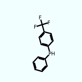 FC(F)(F)c1ccc(Pc2ccccc2)cc1